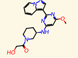 COc1cc(N[C@@H]2CCCN(C(=O)CO)C2)nc(-c2cnn3ccccc23)n1